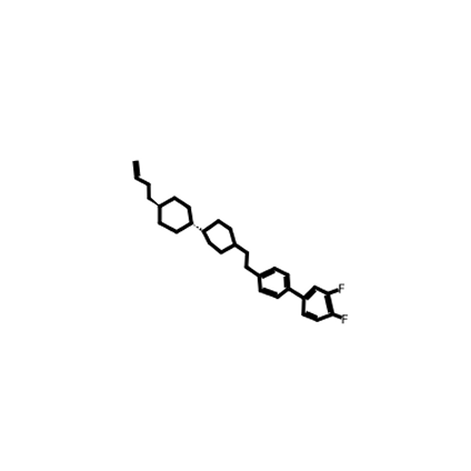 C=CCC[C@H]1CC[C@H](C2CCC(CCc3ccc(-c4ccc(F)c(F)c4)cc3)CC2)CC1